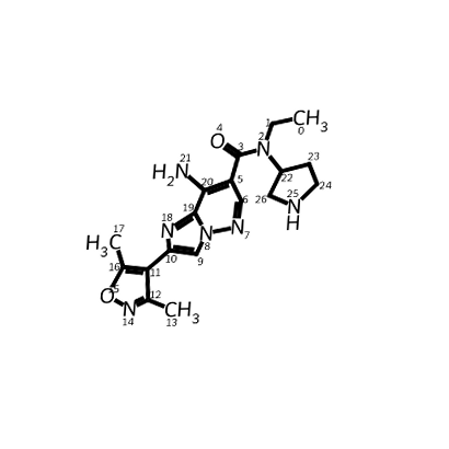 CCN(C(=O)c1cnn2cc(-c3c(C)noc3C)nc2c1N)C1CCNC1